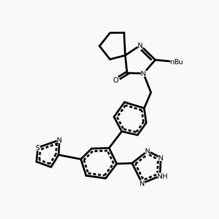 CCCCC1=NC2(CCCC2)C(=O)N1Cc1ccc(-c2cc(-c3ccsn3)ccc2-c2nn[nH]n2)cc1